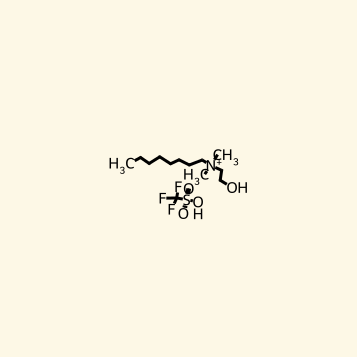 CCCCCCCC[N+](C)(C)CCO.O=S(=O)(O)C(F)(F)F